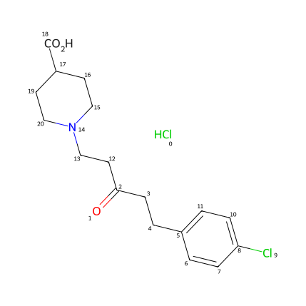 Cl.O=C(CCc1ccc(Cl)cc1)CCN1CCC(C(=O)O)CC1